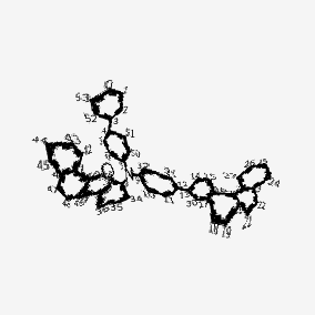 c1ccc(-c2ccc(N(c3ccc(-c4ccc5c(ccc6ccc7ccccc7c65)c4)cc3)c3cccc4c3oc3c5ccccc5ccc43)cc2)cc1